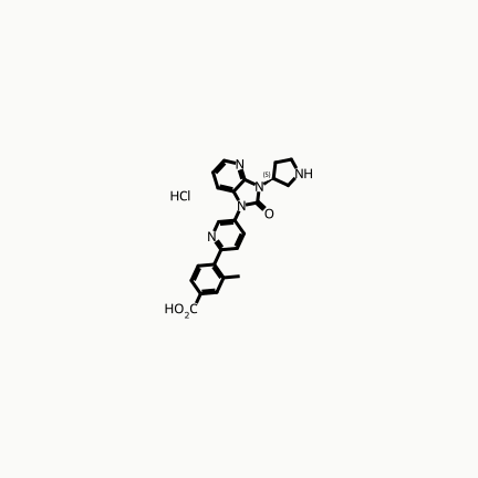 Cc1cc(C(=O)O)ccc1-c1ccc(-n2c(=O)n([C@H]3CCNC3)c3ncccc32)cn1.Cl